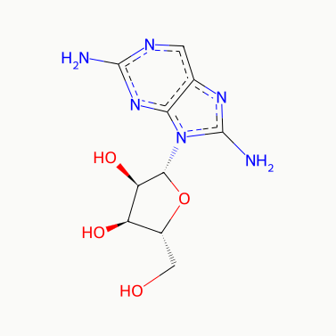 Nc1ncc2nc(N)n([C@@H]3O[C@H](CO)[C@@H](O)[C@H]3O)c2n1